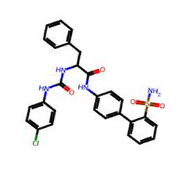 NS(=O)(=O)c1ccccc1-c1ccc(NC(=O)C(Cc2ccccc2)NC(=O)Nc2ccc(Cl)cc2)cc1